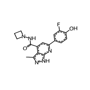 Cc1n[nH]c2nc(-c3ccc(O)c(F)c3)cc(C(=O)NN3CCC3)c12